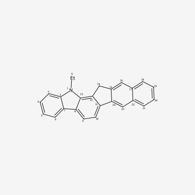 CCn1c2ccccc2c2ccc3c(c21)Cc1cc2ccccc2cc1-3